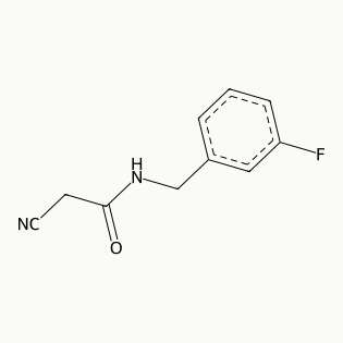 N#CCC(=O)NCc1cccc(F)c1